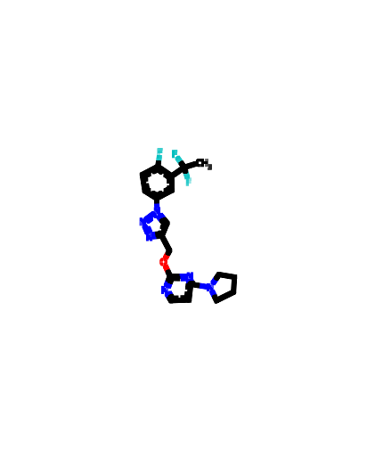 CC(F)(F)c1cc(-n2cc(COc3nccc(N4CCCC4)n3)nn2)ccc1F